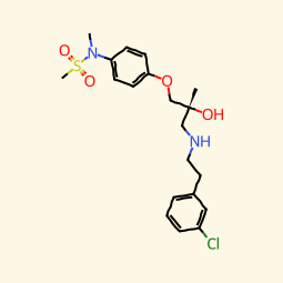 CN(c1ccc(OC[C@](C)(O)CNCCc2cccc(Cl)c2)cc1)S(C)(=O)=O